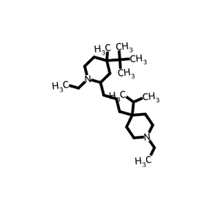 CCN1CCC(CCCC2CC(C)(C(C)(C)C)CCN2CC)(C(C)C)CC1